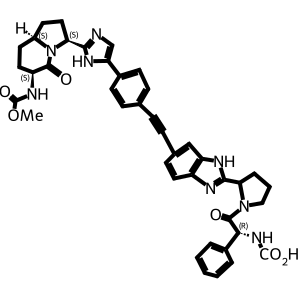 COC(=O)N[C@H]1CC[C@H]2CC[C@@H](c3ncc(-c4ccc(C#Cc5ccc6nc(C7CCCN7C(=O)[C@H](NC(=O)O)c7ccccc7)[nH]c6c5)cc4)[nH]3)N2C1=O